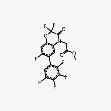 COC(=O)CN1C(=O)C(F)(F)Oc2cc(F)c(-c3cc(F)c(F)c(F)c3F)cc21